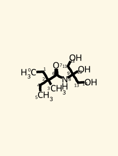 CCC(C)(CC)C(=O)NC(O)(CO)CO